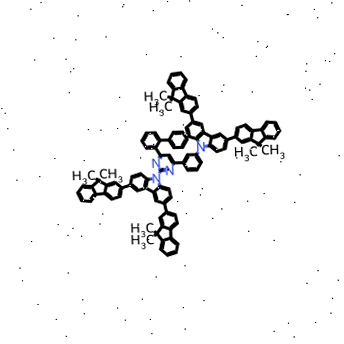 CC1(C)c2ccccc2-c2ccc(-c3ccc4c(c3)c3cc(-c5ccc6c(c5)C(C)(C)c5ccccc5-6)ccc3n4-c3cccc(-c4cc(-c5ccccc5-c5ccccc5)nc(-n5c6ccc(-c7ccc8c(c7)C(C)(C)c7ccccc7-8)cc6c6cc(-c7ccc8c(c7)C(C)(C)c7ccccc7-8)ccc65)n4)c3)cc21